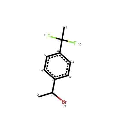 CC(Br)c1ccc(C(C)(F)F)cc1